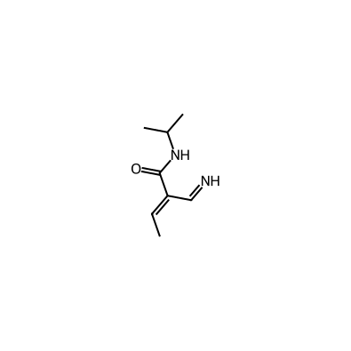 C/C=C(\C=N)C(=O)NC(C)C